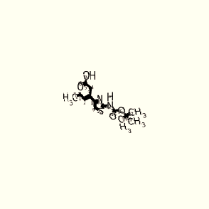 CCC=C(CC(=O)O)c1csc(NC(=O)OC(C)(C)C)n1